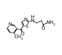 Cc1ccncc1C(=O)c1cnc(NCCC(N)=O)s1